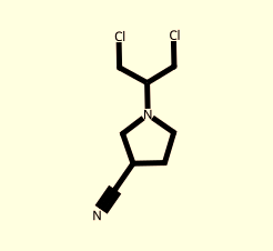 N#CC1CCN(C(CCl)CCl)C1